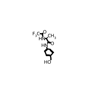 C[C@H](NC(=O)C(F)(F)F)C(=O)Nc1ccc(CO)cc1